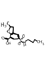 CCCCNS(=O)(=O)c1cc2c(c(C(=O)O)c1)OC(C)C2